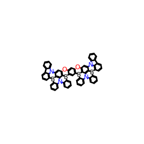 c1ccc2c(c1)B1c3cc4c(cc3Oc3cc5c6c(c31)N2c1ccccc1B6c1cccc2c3ccccc3n-5c12)Oc1cc2c3c5c1B4c1ccccc1N5c1ccccc1B3c1cccc3c4ccccc4n-2c13